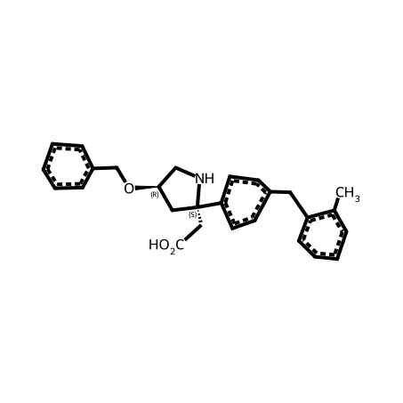 Cc1ccccc1Cc1ccc([C@@]2(CC(=O)O)C[C@@H](OCc3ccccc3)CN2)cc1